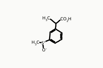 CC(C(=O)O)c1cccc([S+](C)[O-])c1